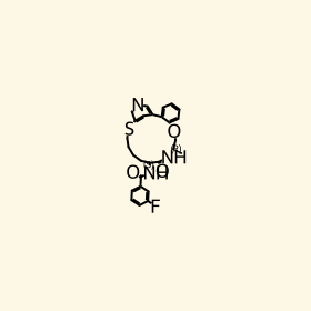 C[C@@H]1COc2ccccc2-c2cncc(c2)SCCCC[C@H](NC(=O)c2cccc(F)c2)C(=O)N1